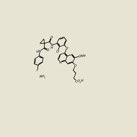 COc1cc2c(Oc3cccc(NC(=O)C4(C(=O)Nc5ccc(F)cc5)CC4)c3Cl)ccnc2cc1OCCCC(=O)O.N